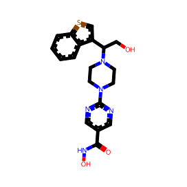 O=C(NO)c1cnc(N2CCN(C(CO)c3csc4ccccc34)CC2)nc1